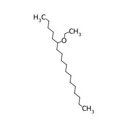 CCCCCCCCCCCCC(CCCCC)OCC